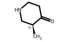 C[C@H]1CNCCC1=O